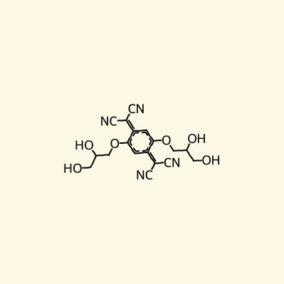 N#CC(C#N)=c1cc(OCC(O)CO)c(=C(C#N)C#N)cc1OCC(O)CO